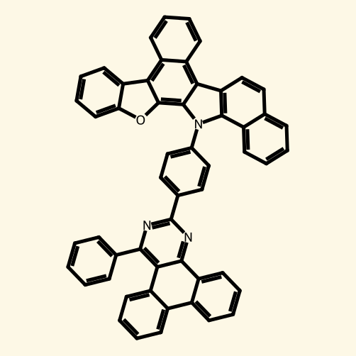 c1ccc(-c2nc(-c3ccc(-n4c5c6ccccc6ccc5c5c6ccccc6c6c7ccccc7oc6c54)cc3)nc3c4ccccc4c4ccccc4c23)cc1